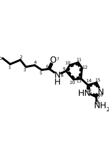 CCCCCCC(=O)Nc1cccc(-c2cnc(N)[nH]2)c1